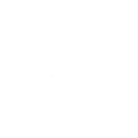 C=CC(=O)OCC(C)c1ccc(C(=O)O)c(C(=O)O)c1CC(C)O